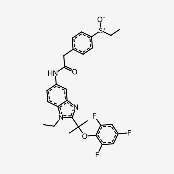 CCn1c(C(C)(C)Oc2c(F)cc(F)cc2F)nc2cc(NC(=O)Cc3ccc([S+]([O-])CC)cc3)ccc21